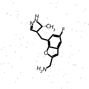 C[C@H]1NN=CC1Cc1cc(F)cc2cc(CN)oc12